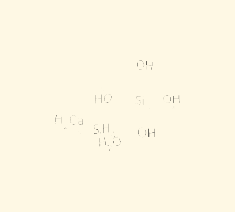 O.O[Si](O)(O)O.[CaH2].[SiH4]